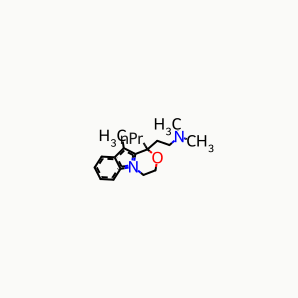 CCCC1(CCN(C)C)OCCn2c1c(C)c1ccccc12